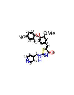 COc1cc(/C=C2\SC(NCc3ccncc3)=NC2=O)ccc1Oc1ccc(C#N)cc1C(F)(F)F